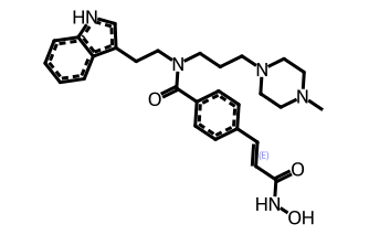 CN1CCN(CCCN(CCc2c[nH]c3ccccc23)C(=O)c2ccc(/C=C/C(=O)NO)cc2)CC1